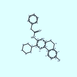 O=C(Cc1ccccc1)Nc1nc2c(nc1C1CCCCC1)-c1ccc(F)cc1CC2